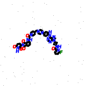 O=C1CC[C@H](N2C(=O)c3cccc(NCC(=O)N4CCC(CN5CCN(c6ccc(Nc7ncnc8c7ncn8C7CC(NC(=O)c8cccc(F)n8)C7)cc6)CC5)CC4)c3C2=O)C(=O)N1